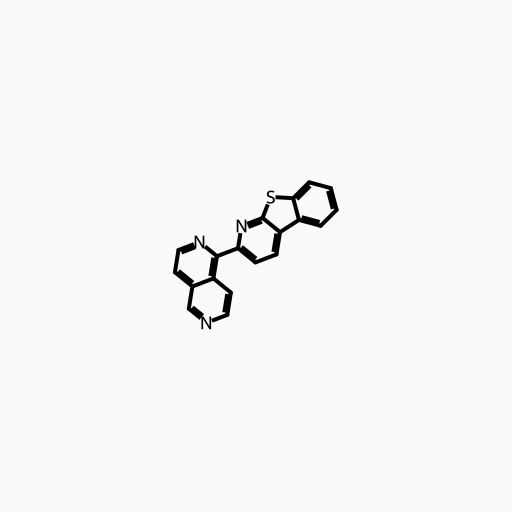 c1ccc2c(c1)sc1nc(-c3nccc4cnccc34)ccc12